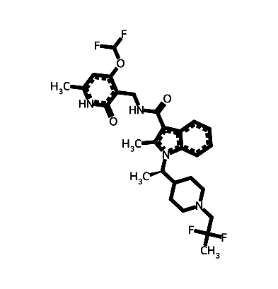 Cc1cc(OC(F)F)c(CNC(=O)c2c(C)n([C@H](C)C3CCN(CC(C)(F)F)CC3)c3ccccc23)c(=O)[nH]1